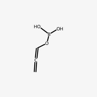 C=C=COB(O)O